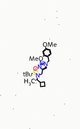 COc1ccc(Cn2cc(CN([C@H](C)C3CCC3)[S+]([O-])C(C)(C)C)nn2)c(OC)c1